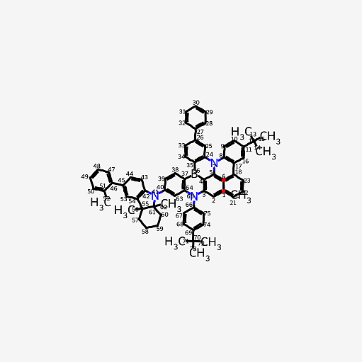 Cc1cc2c3c(c1)N(c1ccc(C(C)(C)C)cc1-c1ccccc1)c1cc(-c4ccccc4)ccc1B3c1ccc(N3c4ccc(-c5ccccc5C)cc4C4(C)CCCCC34C)cc1N2c1ccc(C(C)(C)C)cc1